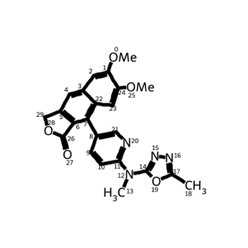 COc1cc2cc3c(c(-c4ccc(N(C)c5nnc(C)o5)nc4)c2cc1OC)C(=O)OC3